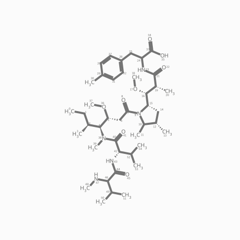 CC[C@H](C)[C@@H]([C@@H](CC(=O)N1C(C)[C@@H](C)C[C@H]1[C@H](OC)[C@@H](C)C(=O)NC(Cc1ccc(C)cc1)C(=O)O)OC)N(C)C(=O)[C@@H](NC(=O)C(NC)C(C)C)C(C)C